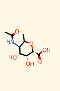 CC(=O)N[C@H]1C(C)O[C@H](C(=O)O)[C@H](O)[C@@H]1O